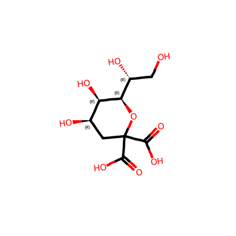 O=C(O)C1(C(=O)O)C[C@@H](O)[C@@H](O)[C@@H]([C@H](O)CO)O1